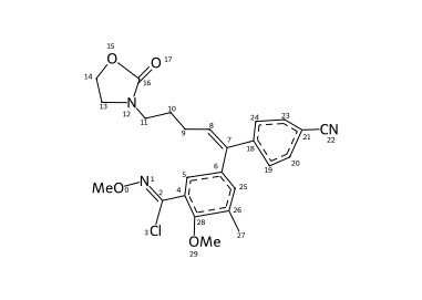 CO/N=C(\Cl)c1cc(/C(=C\CCCN2CCOC2=O)c2ccc(C#N)cc2)cc(C)c1OC